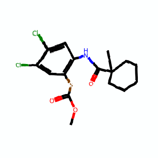 COC(=O)Sc1cc(Cl)c(Cl)cc1NC(=O)C1(C)CCCCC1